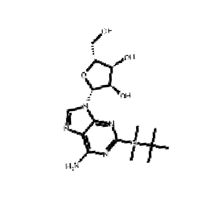 CC(C)(C)[Si](C)(C)c1nc(N)c2ncn([C@@H]3O[C@H](CO)[C@@H](O)[C@H]3O)c2n1